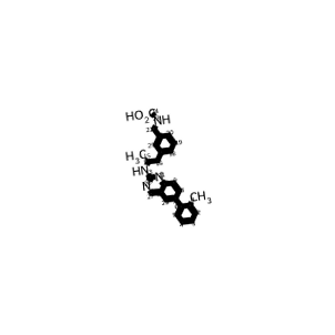 Cc1ccccc1-c1ccc2nc(N[C@@H](C)Cc3cccc(CNC(=O)O)c3)ncc2c1